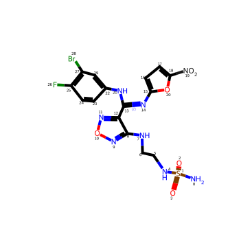 NS(=O)(=O)NCCNc1nonc1/C(=N/c1ccc([N+](=O)[O-])o1)Nc1ccc(F)c(Br)c1